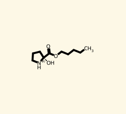 CCCCCOC(=O)[C@]1(O)CCCN1